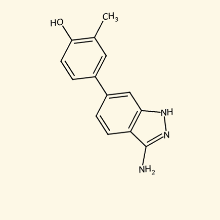 Cc1cc(-c2ccc3c(N)n[nH]c3c2)ccc1O